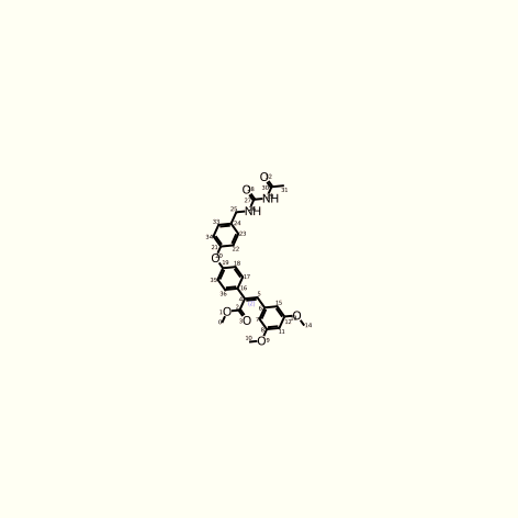 COC(=O)/C(=C\c1cc(OC)cc(OC)c1)c1ccc(Oc2ccc(CNC(=O)NC(C)=O)cc2)cc1